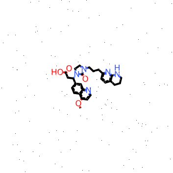 COc1ccnc2cc(C(CC(=O)O)N3CCN(CCCc4ccc5c(n4)NCCC5)C3=O)ccc12